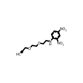 C#CCOCCOCCNc1ccc([N+](=O)[O-])cc1[N+](=O)[O-]